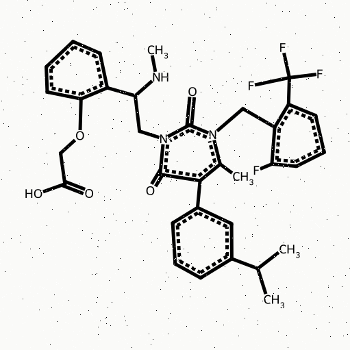 CNC(Cn1c(=O)c(-c2cccc(C(C)C)c2)c(C)n(Cc2c(F)cccc2C(F)(F)F)c1=O)c1ccccc1OCC(=O)O